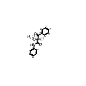 COC(Cl)(C(=O)Nc1ccccc1)C(=O)c1ccccc1